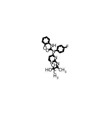 CC(=Nc1nccc(N(C(=O)Nc2ccccc2Cl)c2ccc(F)cc2)n1)C(C)(C)O